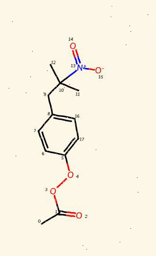 CC(=O)OOc1ccc(CC(C)(C)[N+](=O)[O-])cc1